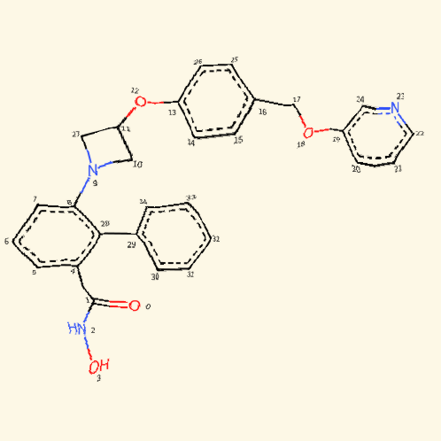 O=C(NO)c1cccc(N2CC(Oc3ccc(COc4cccnc4)cc3)C2)c1-c1ccccc1